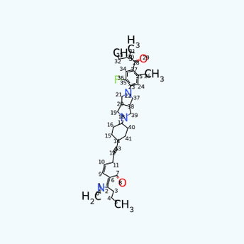 C=N/C(CCC)=C(C=O)\C=C/CC#CC1CCC(N2CC3CN(c4cc(C)c(C(=O)C(C)CC)cc4F)CC3C2)CC1